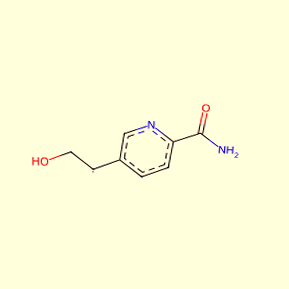 NC(=O)c1ccc([CH]CO)cn1